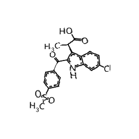 CC(C(=O)O)c1c(C(=O)c2ccc(S(C)(=O)=O)cc2)[nH]c2cc(Cl)ccc12